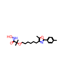 Cc1ccc(-c2nc(CCCCCCOC(C)(C)C(=O)NO)c(C)o2)cc1